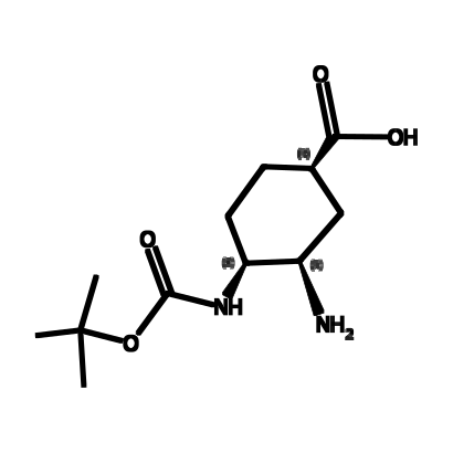 CC(C)(C)OC(=O)N[C@H]1CC[C@@H](C(=O)O)C[C@H]1N